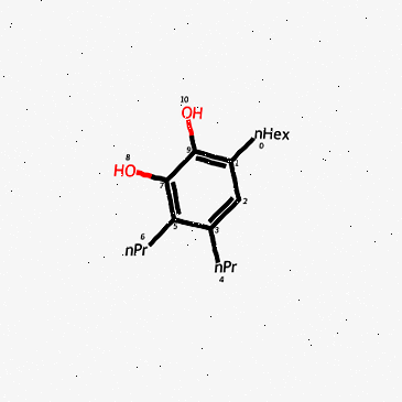 CCCCCCc1cc(CCC)c(CCC)c(O)c1O